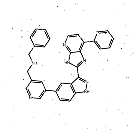 c1ccc(CNCc2cncc(-c3ccc4[nH]nc(-c5nc6c(-c7ccccn7)ccnc6[nH]5)c4c3)c2)cc1